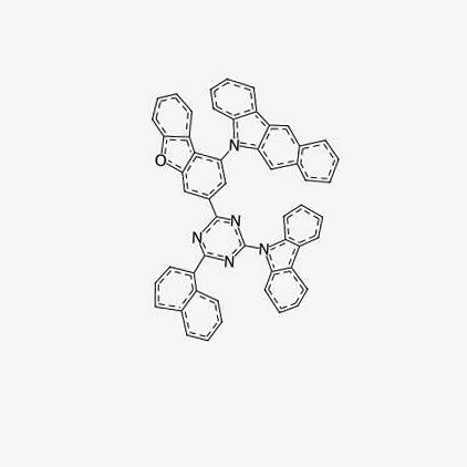 c1ccc2cc3c(cc2c1)c1ccccc1n3-c1cc(-c2nc(-c3cccc4ccccc34)nc(-n3c4ccccc4c4ccccc43)n2)cc2oc3ccccc3c12